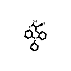 N#C/C(=C\c1ccccc1P(c1ccccc1)c1ccccc1)C(=O)O